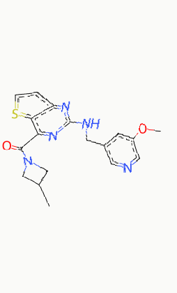 COc1cncc(CNc2nc(C(=O)N3CC(C)C3)c3sccc3n2)c1